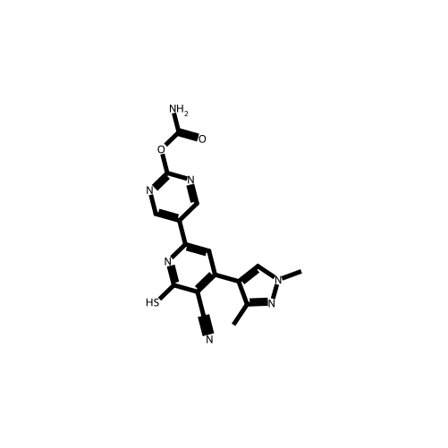 Cc1nn(C)cc1-c1cc(-c2cnc(OC(N)=O)nc2)nc(S)c1C#N